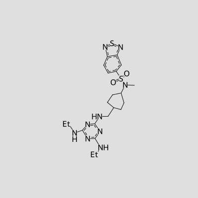 CCNc1nc(NCC)nc(NCC2CCC(N(C)S(=O)(=O)c3ccc4nsnc4c3)CC2)n1